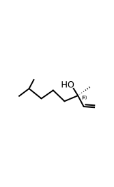 C=C[C@](C)(O)CCCC(C)C